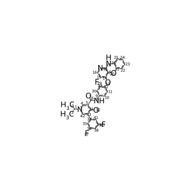 CC(C)n1cc(C(=O)Nc2ccc(Oc3ccnc4c3Oc3ccccc3N4)c(F)c2)c(=O)c(-c2cc(F)cc(F)c2)c1